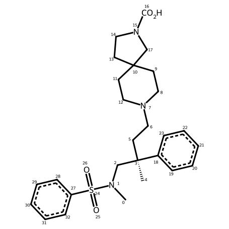 CN(C[C@@](C)(CCN1CCC2(CC1)CCN(C(=O)O)C2)c1ccccc1)S(=O)(=O)c1ccccc1